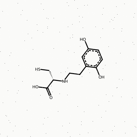 O=C(O)[C@H](CS)NCCc1cc(O)ccc1O